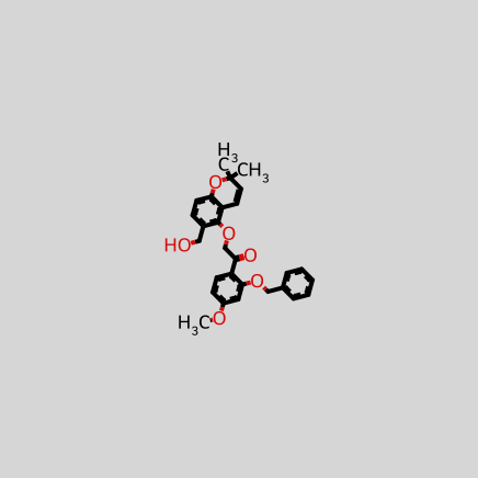 COc1ccc(C(=O)COc2c(CO)ccc3c2C=CC(C)(C)O3)c(OCc2ccccc2)c1